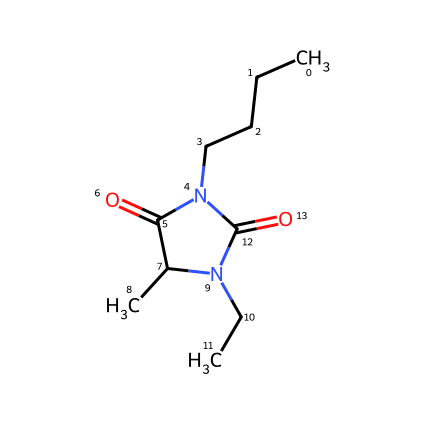 CCCCN1C(=O)C(C)N(CC)C1=O